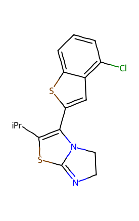 CC(C)C1=C(c2cc3c(Cl)cccc3s2)N2CCN=C2S1